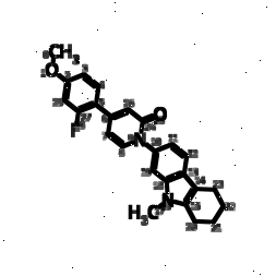 COc1ccc(-c2ccn(-c3ccc4c5c(n(C)c4c3)CCCC5)c(=O)c2)c(F)c1